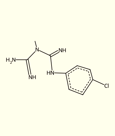 CN(C(=N)N)C(=N)Nc1ccc(Cl)cc1